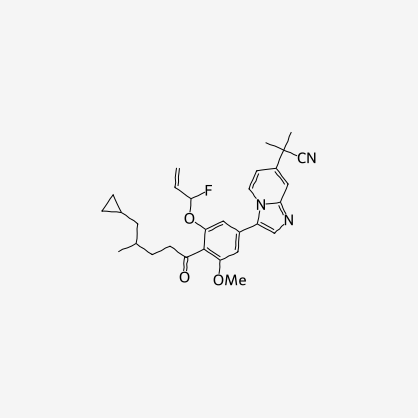 C=CC(F)Oc1cc(-c2cnc3cc(C(C)(C)C#N)ccn23)cc(OC)c1C(=O)CCC(C)CC1CC1